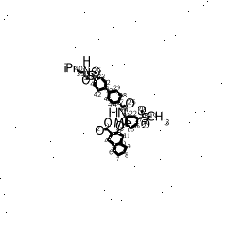 COC(=O)c1cc2ccccc2cc1Oc1ccc(S(C)(=O)=O)cc1NC(=O)c1ccc(-c2ccc(S(=O)(=O)NCC(C)C)cc2)cc1